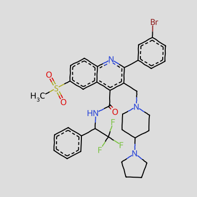 CS(=O)(=O)c1ccc2nc(-c3cccc(Br)c3)c(CN3CCC(N4CCCC4)CC3)c(C(=O)NC(c3ccccc3)C(F)(F)F)c2c1